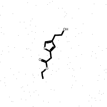 CCOC(=O)Cc1cc(CCO)cs1